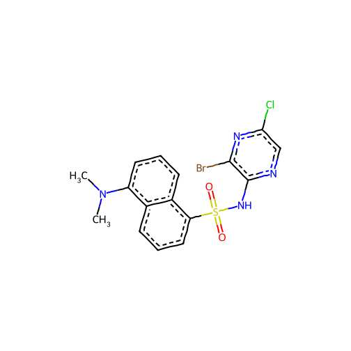 CN(C)c1cccc2c(S(=O)(=O)Nc3ncc(Cl)nc3Br)cccc12